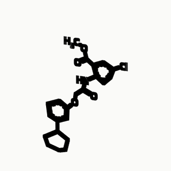 COC(=O)c1cc(Cl)ccc1NC(=O)COc1cccc(C2CCCCC2)c1